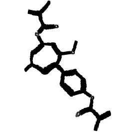 C=C(C)C(=O)OC1=CC(C)C=C(c2ccc(OC(=O)C(=C)C)cc2)C(OC)=C1